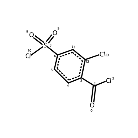 O=C(Cl)c1ccc(S(=O)(=O)Cl)cc1Cl